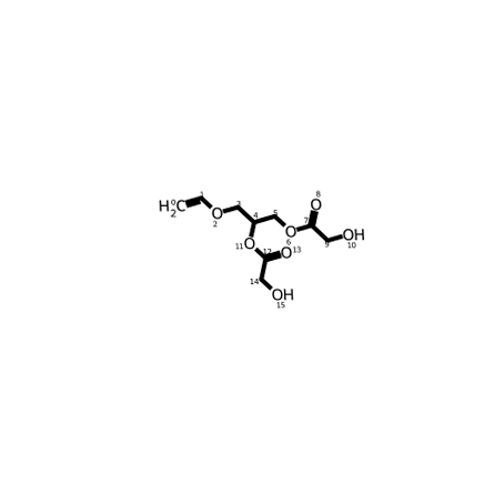 C=COCC(COC(=O)CO)OC(=O)CO